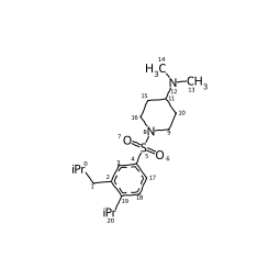 CC(C)Cc1cc(S(=O)(=O)N2CCC(N(C)C)CC2)ccc1C(C)C